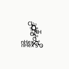 CCCCCCC1(CCCCCC)SC(=O)C=C1OCC(=O)Nc1ccc(Cl)cc1